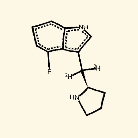 [2H]C([2H])(c1c[nH]c2cccc(F)c12)[C@H]1CCCN1